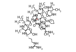 CC(C)[C@H](NC(=O)[C@H](C)NC(=O)[C@@H](NC(=O)[C@@H]1CCCN1C(=O)[C@H](C)NC(=O)[C@H](C)N)C(C)C)C(=O)N[C@@H](C)C(=O)N[C@@H](C)C(=O)N1CCC[C@H]1C(=O)N[C@H](C(=O)N[C@@H](C)C(=O)N[C@@H](CCCNC(=N)N)C(=O)O)C(C)C